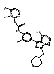 Nc1ncnn2c(CN3CCOCC3)cc(-c3ccc(NC(=O)Nc4nccc(C(F)(F)F)c4O)c(F)c3)c12